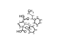 CC1(C(=O)O)C=CC=C(C(=O)O)C1Cc1ccccc1.CCCCc1ccccc1